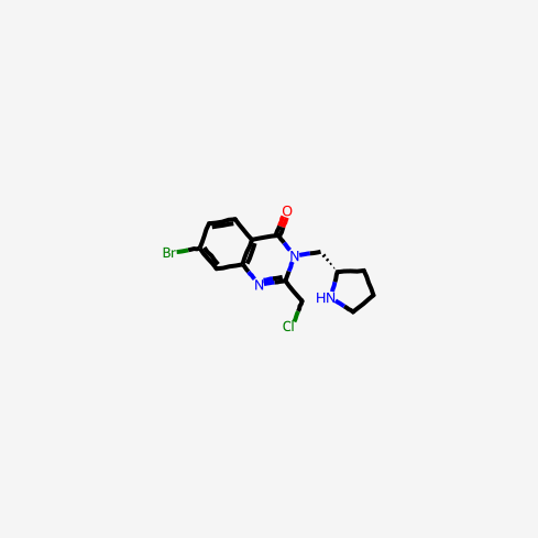 O=c1c2ccc(Br)cc2nc(CCl)n1C[C@@H]1CCCN1